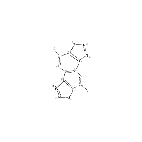 Cc1cc2c(cc(C)c3snnc32)c2nnsc12